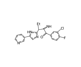 CCC(C(=N)C(=O)c1ccc(F)c(Cl)c1)c1ncc(-c2cccnc2)[nH]1